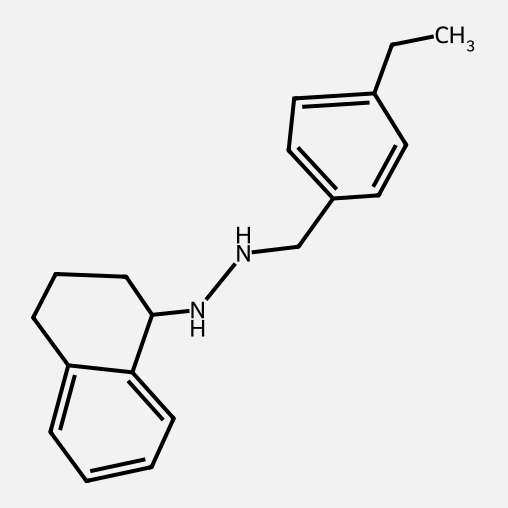 CCc1ccc(CNNC2CCCc3ccccc32)cc1